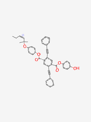 CC/C=C\C(C)(C)Oc1ccc(OC(=O)c2cc(C#Cc3ccccc3)c(C(=O)Oc3ccc(O)cc3)cc2C#Cc2ccccc2)cc1